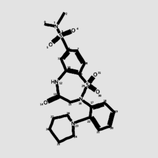 CN(C)S(=O)(=O)c1ccc2c(c1)NC(=O)CN(c1ccccc1N1CCCCC1)S2(=O)=O